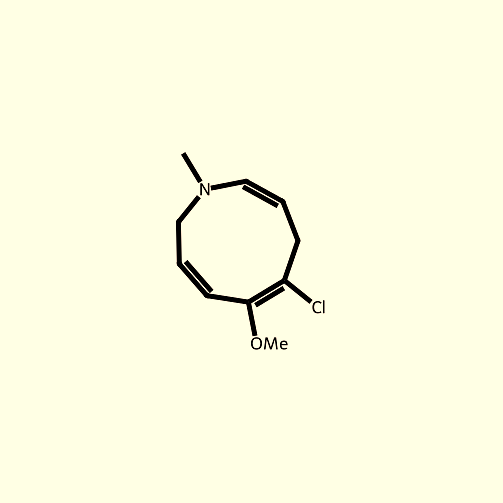 COC1=C(\Cl)C/C=C\N(C)C/C=C\1